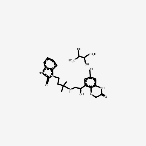 CC(C)(CCn1c(=O)[nH]c2ccccc21)NCC(O)c1cc(O)cc2c1OCC(=O)N2.O=C(O)C(O)C(O)C(=O)O